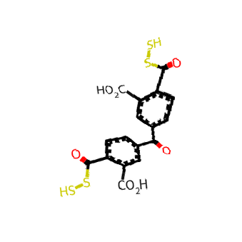 O=C(c1ccc(C(=O)SS)c(C(=O)O)c1)c1ccc(C(=O)SS)c(C(=O)O)c1